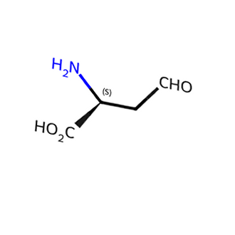 N[C@@H](CC=O)C(=O)O